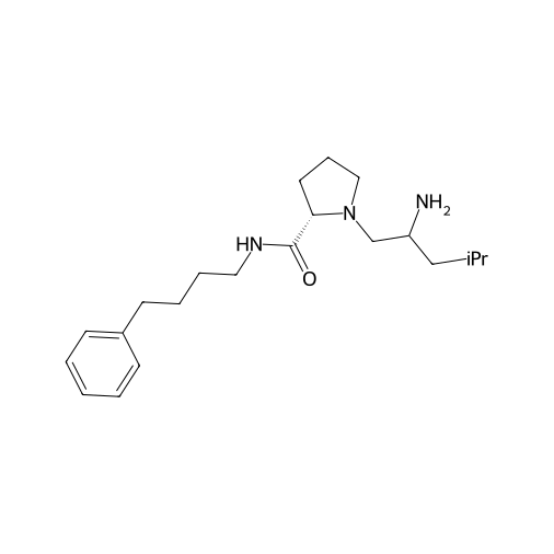 CC(C)CC(N)CN1CCC[C@H]1C(=O)NCCCCc1ccccc1